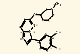 CN1CCCC(Oc2ccc3ncc(-c4ccc(F)c(Cl)c4)n3n2)C1